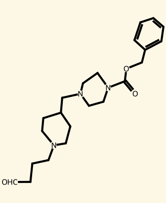 O=CCCCN1CCC(CN2CCN(C(=O)OCc3ccccc3)CC2)CC1